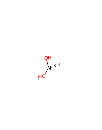 [KH].[OH][Al][OH]